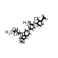 CC(C)(C)C/C=N/[C@@H]1c2scnc2CC12CCN(c1cnc(Sc3ccnc(C4CC4)c3Cl)c(N)n1)CC2